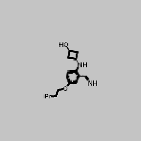 CC(C)CCOc1ccc(N[C@H]2C[C@H](O)C2)c(C=N)c1